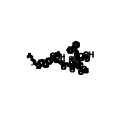 CC(C)CCC[C@@H](C)[C@H]1CCC2C3CC=C4C[C@@H](N(CCCNC(=O)CCNC(=O)[C@H](CCC(=O)OC(C)(C)C)NC(=O)[C@H](CCC(=O)O)NC(=O)OCC5c6ccccc6-c6ccccc65)C(=O)OC(C)(C)C)CC[C@]4(C)C3CC[C@@]21C